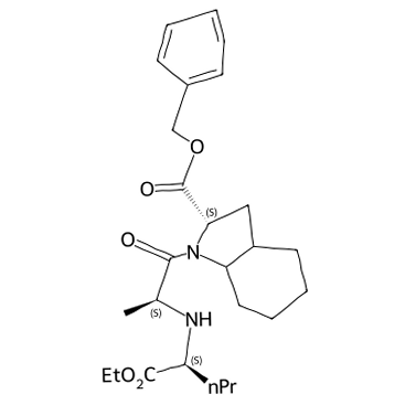 CCC[C@H](N[C@@H](C)C(=O)N1C2CCCCC2C[C@H]1C(=O)OCc1ccccc1)C(=O)OCC